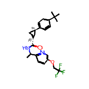 CC(NC(=O)[C@@H]1C[C@H]1c1ccc(C(C)(C)C)cc1)c1ccc(OCC(F)(F)F)cn1